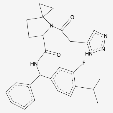 CC(C)c1ccc(C(NC(=O)C2CCC3(CC3)N2C(=O)Cc2cnn[nH]2)c2ccccc2)cc1F